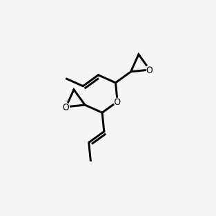 CC=CC(OC(C=CC)C1CO1)C1CO1